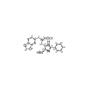 CCCCCCCCN(Cc1ccc2c(c1)OCO2)Cc1[nH]c(-c2ccccc2)nc1CCCC